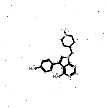 CN1CCC(Cn2cc(-c3ccc(N)cc3)c3c(N)ncnc32)CC1